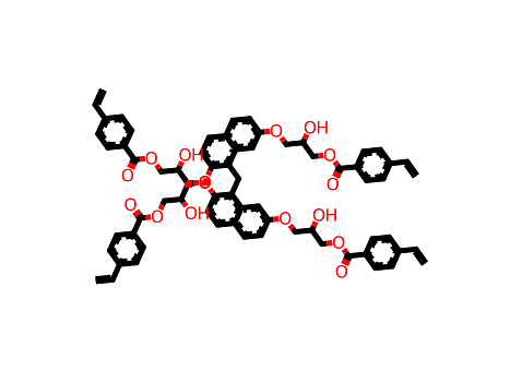 C=Cc1ccc(C(=O)OCC(O)COc2ccc3ccc(OCC(O)COC(=O)c4ccc(C=C)cc4)c(Cc4c(OCC(O)COC(=O)c5ccc(C=C)cc5)ccc5ccc(OCC(O)COC(=O)c6ccc(C=C)cc6)cc45)c3c2)cc1